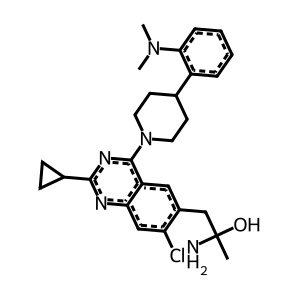 CN(C)c1ccccc1C1CCN(c2nc(C3CC3)nc3cc(Cl)c(CC(C)(N)O)cc23)CC1